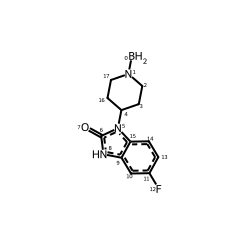 BN1CCC(n2c(=O)[nH]c3cc(F)ccc32)CC1